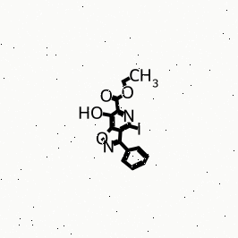 CCOC(=O)c1nc(I)c2c(-c3ccccc3)noc2c1O